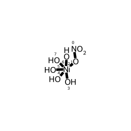 O=[N+]([O-])[O][Ni]([OH])([OH])([OH])([OH])[OH]